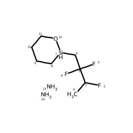 CC(F)C(F)(F)C[SiH]1CCCCO1.N.N